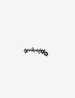 CC(C(=O)OCCOC(=O)CCCCC1CCSS1)c1ccc(-c2ccccc2)c(F)c1